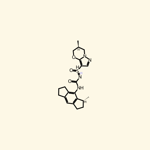 C[C@@H]1COc2c(/[SH](=O)=N/C(=O)Nc3c4c(cc5c3[C@H](C)CC5)CCC4)cnn2C1